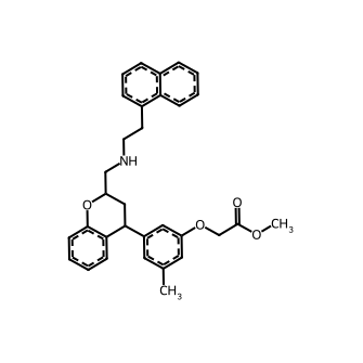 COC(=O)COc1cc(C)cc(C2CC(CNCCc3cccc4ccccc34)Oc3ccccc32)c1